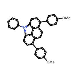 COc1ccc(-c2ccc3c4c2ccc2c(-c5ccc(OC)cc5)ccc(c24)n3-c2ccccc2)cc1